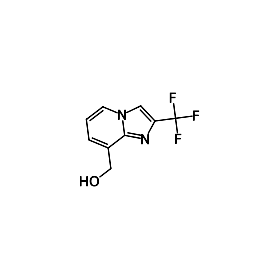 OCc1cccn2cc(C(F)(F)F)nc12